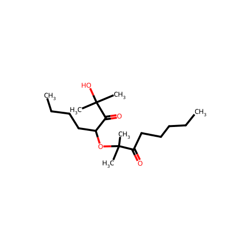 CCCCCC(=O)C(C)(C)OC(CCCC)C(=O)C(C)(C)O